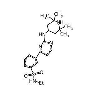 CCNS(=O)(=O)c1cccc(-c2ccnc(NC3CC(C)(C)NC(C)(C)C3)n2)c1